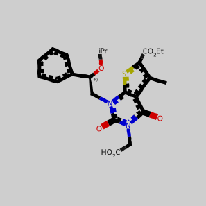 CCOC(=O)c1sc2c(c1C)c(=O)n(CC(=O)O)c(=O)n2C[C@H](OC(C)C)c1ccccc1